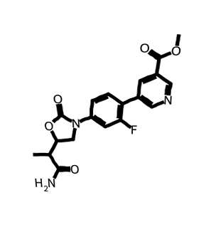 COC(=O)c1cncc(-c2ccc(N3CC(C(C)C(N)=O)OC3=O)cc2F)c1